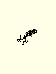 C#CCOC(=O)N1C[C@H](OCC(=O)NC[C@H](NS(=O)(=O)c2c(C)cc(C)cc2C)C(=O)O)C[C@H]1CNc1ccccn1